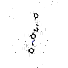 C/C(=C\c1ccc(O[C@@H]2O[C@H](C(C)ON=Cc3cccc(Cl)c3)[C@@H](O)[C@@H]2O)c(O)c1)C(=O)N[C@@H]1[C@H](O)[C@@H](O)[C@H]2OCO[C@H]2[C@@H]1O